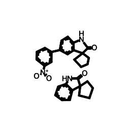 O=C1Nc2ccc(-c3cccc([N+](=O)[O-])c3)cc2C12CCCC2.O=C1Nc2ccccc2C12CCCC2